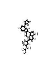 CCC(=O)Nc1cncc(-c2ccc3[nH]nc(-c4cc5c(-c6cccs6)cccc5[nH]4)c3n2)c1